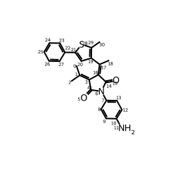 CC(C)=C1C(=O)N(c2ccc(N)cc2)C(=O)/C1=C(\C)c1cc(-c2ccccc2)sc1C